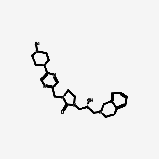 CC(=O)N1CCC(c2cnc(CN3CCN(C[C@H](O)CN4CCc5ccccc5C4)C3=O)cn2)CC1